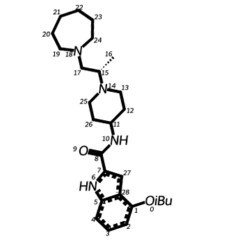 CC(C)COc1cccc2[nH]c(C(=O)NC3CCN([C@@H](C)CN4CCCCCC4)CC3)cc12